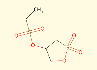 CCS(=O)(=O)OC1COS(=O)(=O)C1